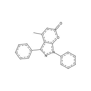 Cc1cc(=O)oc2c1c(-c1ccccc1)nn2-c1ccccc1